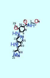 COCCNC(=O)c1ccc(Nc2cc3[nH]c(-c4cnn(C)c4)cc3cn2)c(OC)c1